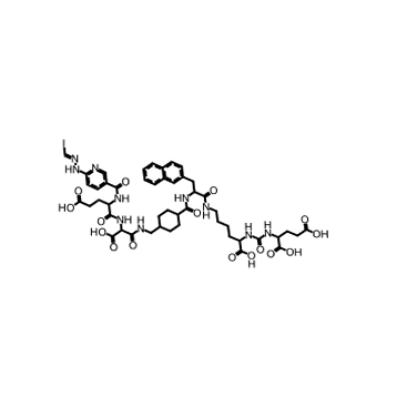 O=C(O)CCC(NC(=O)NC(CCCCNC(=O)C(Cc1ccc2ccccc2c1)NC(=O)C1CCC(CNC(=O)C(NC(=O)C(CCC(=O)O)NC(=O)c2ccc(N/N=C/I)nc2)C(=O)O)CC1)C(=O)O)C(=O)O